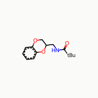 CC(C)(C)C(=O)NCC1COc2ccccc2O1